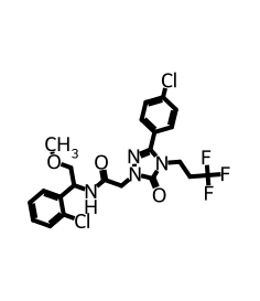 COCC(NC(=O)Cn1nc(-c2ccc(Cl)cc2)n(CCC(F)(F)F)c1=O)c1ccccc1Cl